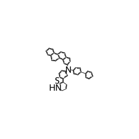 C1=Cc2c(sc3ccc(N(c4ccc(-c5ccccc5)cc4)c4ccc5ccc6c7ccccc7ccc6c5c4)cc23)NC1